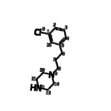 Clc1cccc(CCCN2CCNCC2)c1